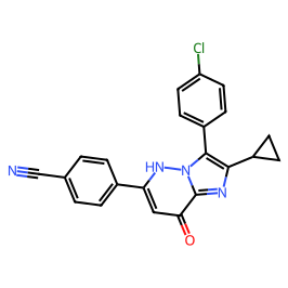 N#Cc1ccc(-c2cc(=O)c3nc(C4CC4)c(-c4ccc(Cl)cc4)n3[nH]2)cc1